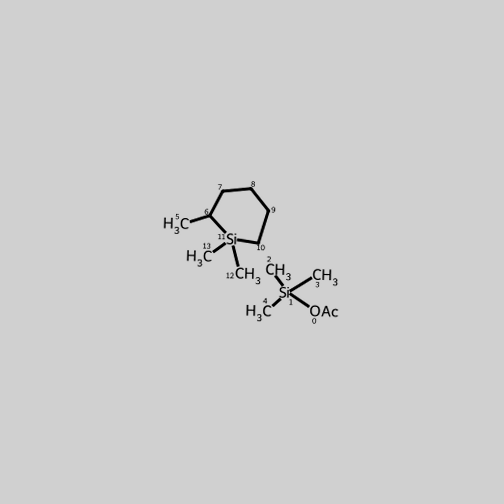 CC(=O)O[Si](C)(C)C.CC1CCCC[Si]1(C)C